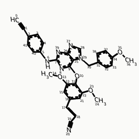 C#Cc1ccc(Nc2nc(Oc3c(OC)cc(/C=C/C#N)cc3OC)c3c(ncn3Cc3ccc(OC)cc3)n2)cc1